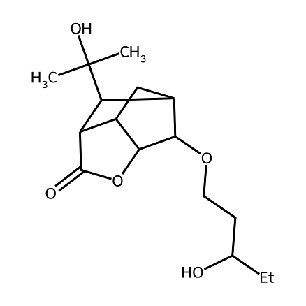 CCC(O)CCOC1C2CC3C1OC(=O)C3C2C(C)(C)O